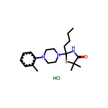 CCCCC1(N2CCN(c3ccccc3C)CC2)NC(=O)C(C)(C)S1.Cl